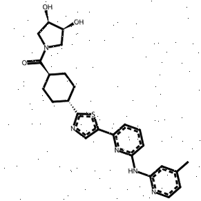 Cc1ccnc(Nc2cccc(-c3cnc([C@H]4CC[C@H](C(=O)N5C[C@@H](O)[C@@H](O)C5)CC4)s3)n2)c1